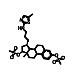 Cc1cnc(NCCC[C@@H]2C[C@H](OS(C)(=O)=O)[C@@]3(C)CCC4c5ccc(OS(C)(=O)=O)cc5CCC4C23)s1